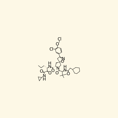 CCC[C@H](NC(=O)[C@@H]1C[C@]2(CC(c3ccc(OCCl)c(Cl)c3)=NO2)CN1C(=O)[C@@H](NC(=O)CC1CCCCC1)C(C)(C)C)C(=O)C(=O)NC1CC1